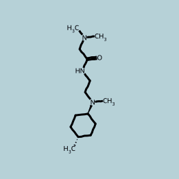 CN(C)CC(=O)NCCN(C)[C@H]1CC[C@H](C)CC1